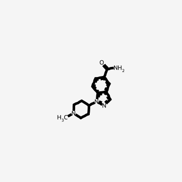 CN1CCC(n2ncc3cc(C(N)=O)ccc32)CC1